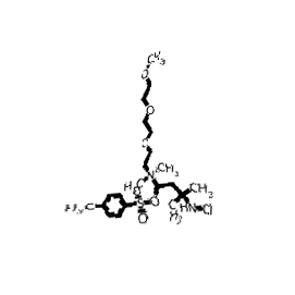 COCCOCCOCC[N+](C)(C)C(CC(C)(C)NCl)OS(=O)(=O)c1ccc(C)cc1